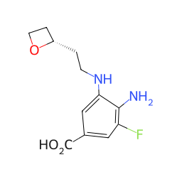 Nc1c(F)cc(C(=O)O)cc1NCC[C@H]1CCO1